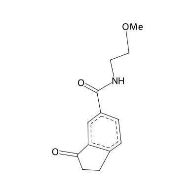 COCCNC(=O)c1ccc2c(c1)C(=O)CC2